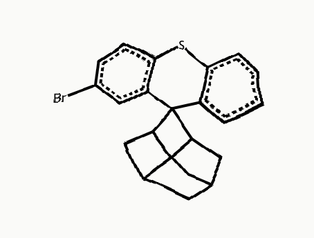 Brc1ccc2c(c1)C1(c3ccccc3S2)C2CC3CC4CC1C42C3